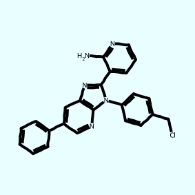 Nc1ncccc1-c1nc2cc(-c3ccccc3)cnc2n1-c1ccc(CCl)cc1